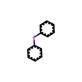 c1ccc([I]c2ccccc2)cc1